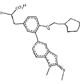 CCC(Cc1ccc(OCC2CCCC2)c(-c2ccc3c(c2)s/c(=N/C)n3C)c1)C(=O)O